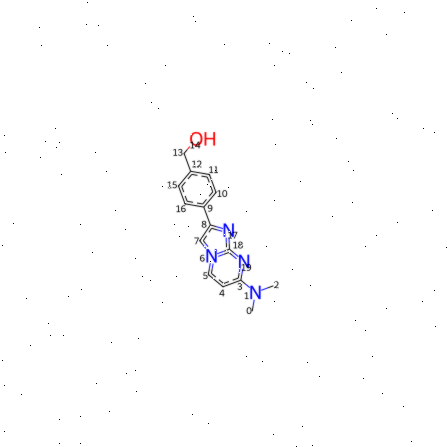 CN(C)c1ccn2cc(-c3ccc(CO)cc3)nc2n1